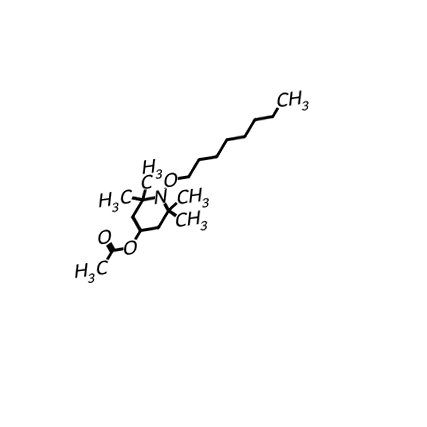 CCCCCCCCON1C(C)(C)CC(OC(C)=O)CC1(C)C